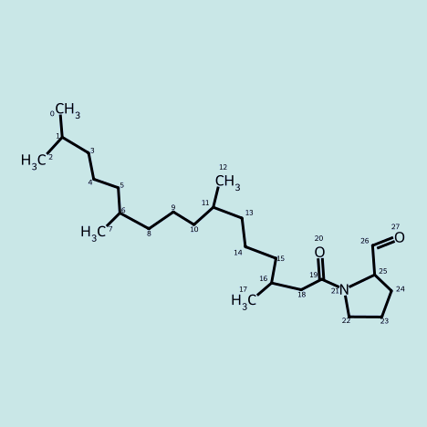 CC(C)CCCC(C)CCCC(C)CCCC(C)CC(=O)N1CCCC1C=O